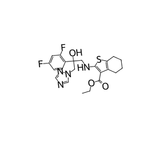 CCOC(=O)c1c(NCC(O)(Cn2cncn2)c2ccc(F)cc2F)sc2c1CCCC2